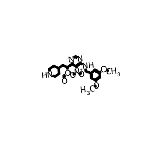 COc1cc(CNc2ncnc(C(CC3CCNCC3)OC=O)c2[N+](=O)[O-])cc(OC)c1